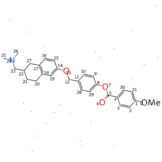 COc1ccc(C(=O)Oc2ccc(COc3ccc4c(c3)CCC(CN(C)C)C4)cc2)cc1